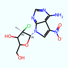 C[C@@]1(Cl)C(O)C(CO)O[C@H]1n1cc([N+](=O)[O-])c2c(N)ncnc21